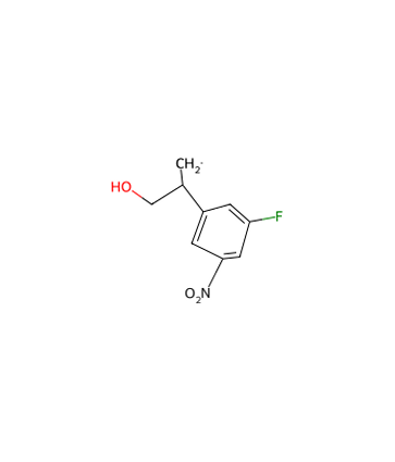 [CH2]C(CO)c1cc(F)cc([N+](=O)[O-])c1